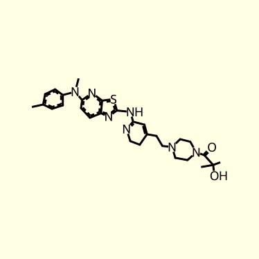 Cc1ccc(N(C)c2ccc3nc(NC4=NCCC(CCN5CCN(C(=O)C(C)(C)O)CC5)=C4)sc3n2)cc1